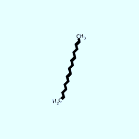 C=C[CH]CCC/C=C/CC/C=C/CC/C=C/C